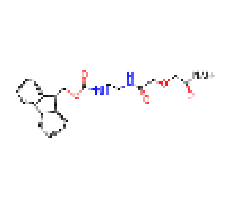 CNC(=O)COCC(=O)NCCNC(=O)OCC1c2ccccc2-c2ccccc21